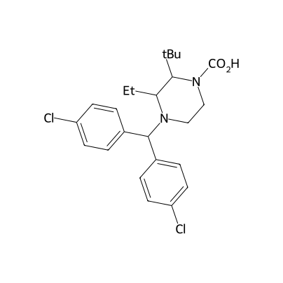 CCC1C(C(C)(C)C)N(C(=O)O)CCN1C(c1ccc(Cl)cc1)c1ccc(Cl)cc1